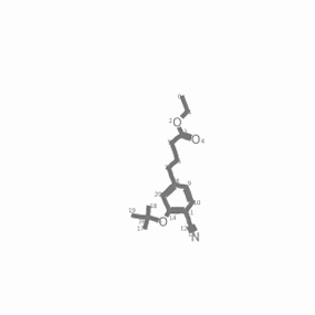 CCOC(=O)CCCc1ccc(C#N)c(OC(C)(C)C)c1